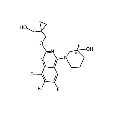 C[C@@]1(O)CCCN(c2nc(OCC3(CO)CC3)nc3c(F)c(Br)c(F)cc23)C1